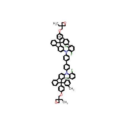 CCC1(COc2ccc(C3(c4cc(C)ccc4C)c4ccccc4-c4ccc(N(c5ccc(-c6ccc(N(c7ccc8c(c7)C(c7ccc(OCC9(CC)COC9)cc7)(c7cc(C)ccc7C)c7ccccc7-8)c7c(F)cccc7F)cc6)cc5)c5c(F)cccc5F)cc43)cc2)COC1